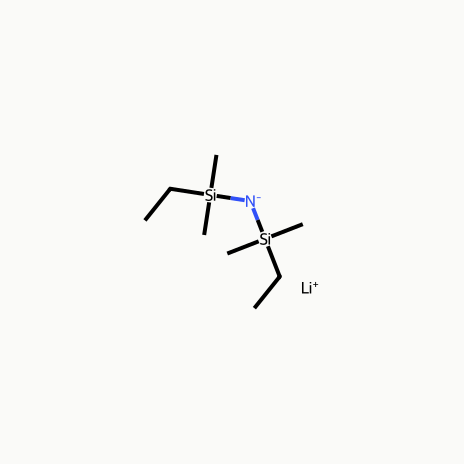 CC[Si](C)(C)[N-][Si](C)(C)CC.[Li+]